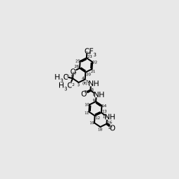 CC1(C)C[C@@H](NC(=O)Nc2ccc3c(c2)NC(=O)CC3)c2ccc(C(F)(F)F)cc2O1